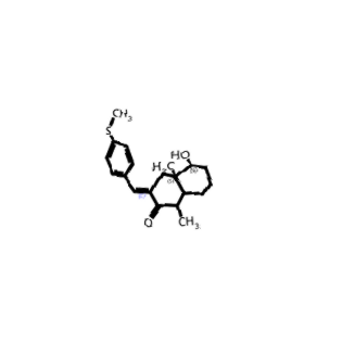 CSc1ccc(/C=C2\C[C@@]3(C)C(CCC[C@@H]3O)C(C)C2=O)cc1